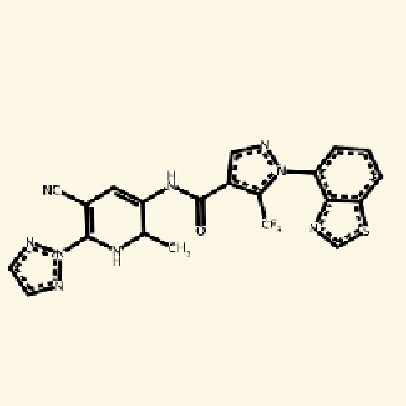 CC1NC(n2nccn2)=C(C#N)C=C1NC(=O)c1cnn(-c2cccc3scnc23)c1C(F)(F)F